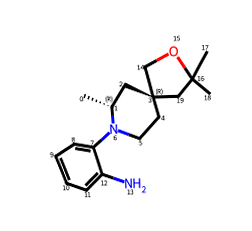 C[C@@H]1C[C@@]2(CCN1c1ccccc1N)COC(C)(C)C2